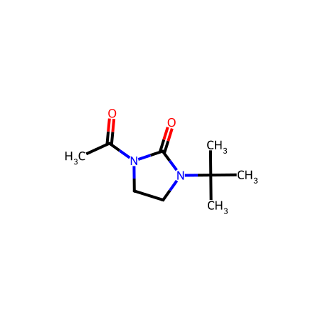 CC(=O)N1CCN(C(C)(C)C)C1=O